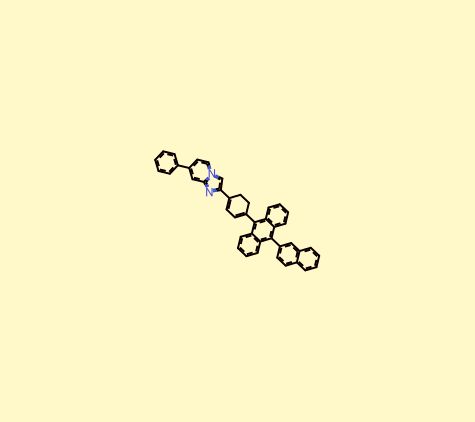 C1=C(c2cn3ccc(-c4ccccc4)cc3n2)CCC(c2c3ccccc3c(-c3ccc4ccccc4c3)c3ccccc23)=C1